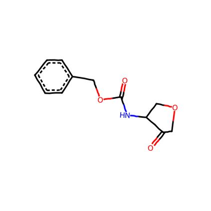 O=C(NC1COCC1=O)OCc1ccccc1